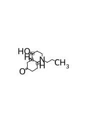 CCCN1CC[C@H](O)[C@H]2CC(=O)CC[C@@H]21